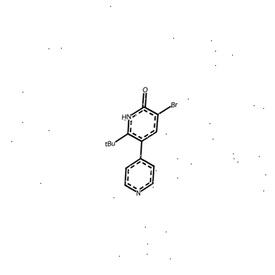 CC(C)(C)c1[nH]c(=O)c(Br)cc1-c1ccncc1